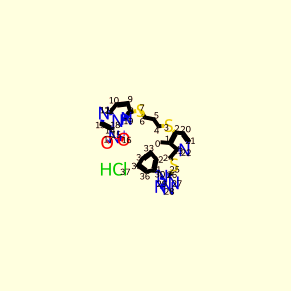 Cc1c(SCCCSc2ccc3ncc([N+](=O)[O-])n3n2)ccnc1CSc1nnnn1-c1ccccc1.Cl